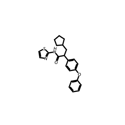 O=C(Nc1nccs1)C(CC1CCCC1)c1ccc(Oc2ccccc2)cc1